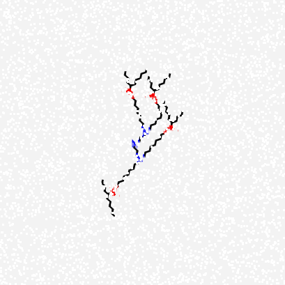 CCCCCCC(CCCC)C(=O)OCCCCCCCCCN(CCCCCCCCCOC(=O)C(CCCC)CCCCCC)CCCN(C)CCCN(CCCCCCCCCOC(=O)C(CCCC)CCCCCC)CCCCCCCCCOC(=O)C(CCCC)CCCCCC